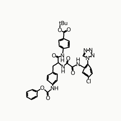 CC(C)(C)OC(=O)c1ccc(NC(=O)C(Cc2ccc(NC(=O)Oc3ccccc3)cc2)NC(=O)C(=O)Nc2cc(Cl)ccc2-n2cnnn2)cc1